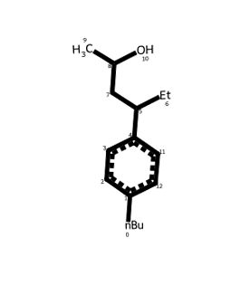 CCCCc1ccc(C(CC)CC(C)O)cc1